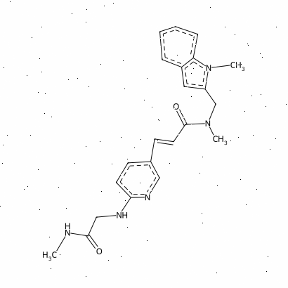 CNC(=O)CNc1ccc(/C=C/C(=O)N(C)Cc2cc3ccccc3n2C)cn1